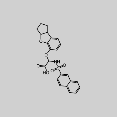 O=C(O)C(NS(=O)(=O)c1ccc2ccccc2c1)Oc1cccc2c1OC1CCCC21